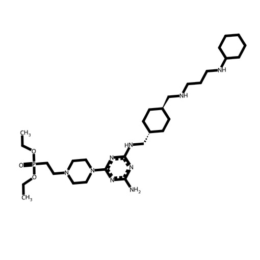 CCOP(=O)(CCN1CCN(c2nc(N)nc(NC[C@H]3CC[C@H](CNCCCNC4CCCCC4)CC3)n2)CC1)OCC